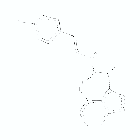 CC(c1c[nH]c2cccc(Cl)c12)N(C)C(=O)C=Cc1ccc(N)nc1